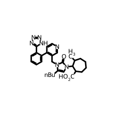 CCCCc1cn(C2C(C)CCCCC2C(=O)O)c(=O)n1Cc1cnccc1-c1ccccc1-c1nnn[nH]1